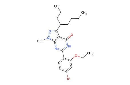 CCCCC(CCC)c1nn(C)c2nc(-c3ccc(Br)cc3OCC)[nH]c(=O)c12